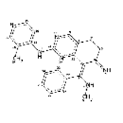 CN/C(=C1\C(=N)CCc2cnc(Nc3ccccc3C)nc21)c1ccccc1